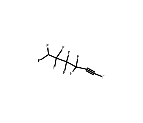 FC#CC(F)(F)C(F)(F)C(F)(F)C(F)F